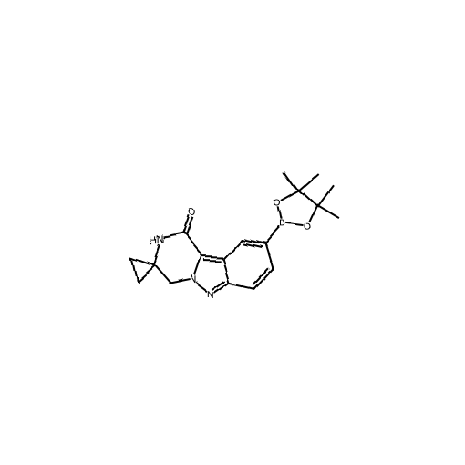 CC1(C)OB(c2ccc3nn4c(c3c2)C(=O)NC2(CC2)C4)OC1(C)C